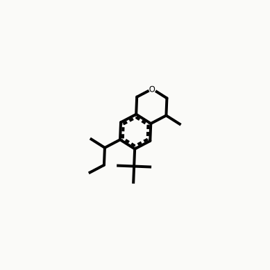 CCC(C)c1cc2c(cc1C(C)(C)C)C(C)COC2